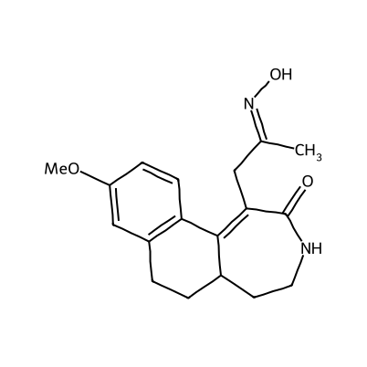 COc1ccc2c(c1)CCC1CCNC(=O)C(C/C(C)=N/O)=C21